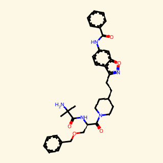 CC(C)(N)C(=O)N[C@H](COCc1ccccc1)C(=O)N1CCC(CCc2noc3cc(NC(=O)c4ccccc4)ccc23)CC1